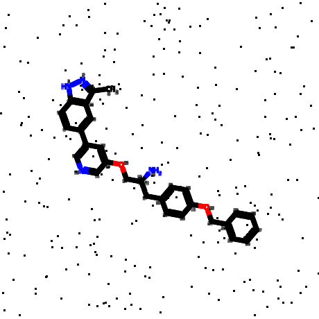 Cc1n[nH]c2ccc(-c3cncc(OC[C@@H](N)Cc4ccc(OCc5ccccc5)cc4)c3)cc12